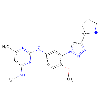 CNc1cc(C)nc(Nc2ccc(OC)c(-n3cc([C@@H]4CCCN4)nn3)c2)n1